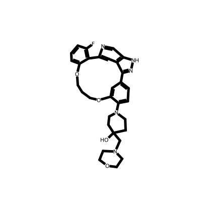 OC1(CN2CCOCC2)CCN(c2ccc3cc2OCCCOc2cccc(F)c2-c2cc4c-3n[nH]c4cn2)CC1